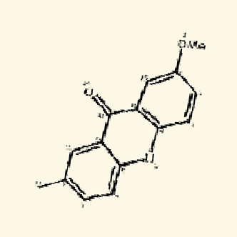 COc1ccc2oc3ccc(C)cc3c(=O)c2c1